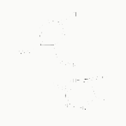 CNc1ccc(Cl)cc1/C(C)=N/n1c(=O)[nH]nc(C)c1=O